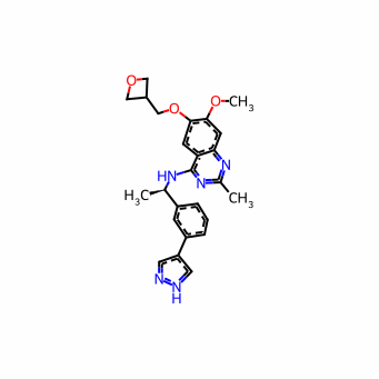 COc1cc2nc(C)nc(N[C@H](C)c3cccc(-c4cn[nH]c4)c3)c2cc1OCC1COC1